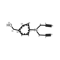 C#CCN(CC#C)c1ccc(CO)cc1